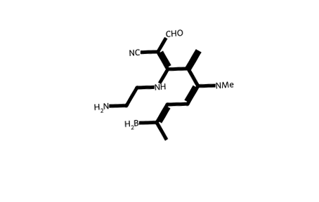 B/C(C)=C/C=C(/NC)C(=C)/C(NCCN)=C(/C#N)C=O